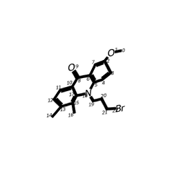 COc1ccc2c(c1)c(=O)c1ccc(C)c(C)c1n2CCCBr